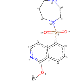 CCOc1nccc2c(S(=O)(=O)N3CCCNCC3)cccc12